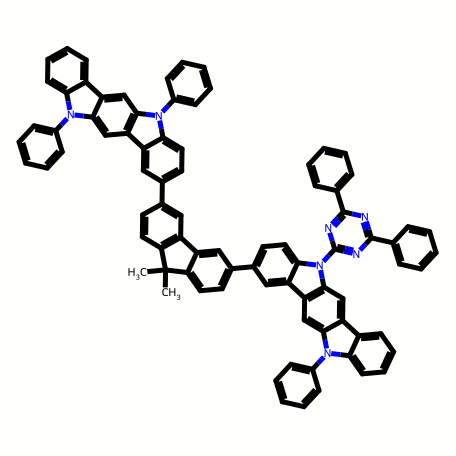 CC1(C)c2ccc(-c3ccc4c(c3)c3cc5c(cc3n4-c3ccccc3)c3ccccc3n5-c3ccccc3)cc2-c2cc(-c3ccc4c(c3)c3cc5c(cc3n4-c3nc(-c4ccccc4)nc(-c4ccccc4)n3)c3ccccc3n5-c3ccccc3)ccc21